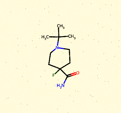 CC(C)(C)N1CCC(F)(C(N)=O)CC1